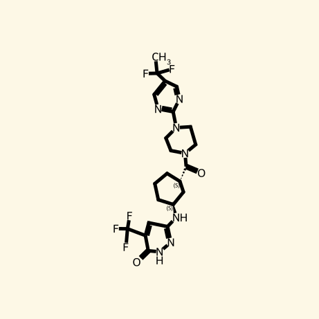 CC(F)(F)c1cnc(N2CCN(C(=O)[C@H]3CCC[C@H](Nc4cc(C(F)(F)F)c(=O)[nH]n4)C3)CC2)nc1